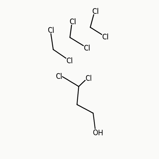 ClCCl.ClCCl.ClCCl.OCCC(Cl)Cl